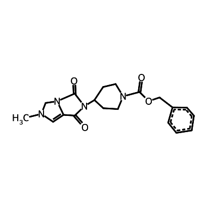 CN1C=C2C(=O)N(C3CCN(C(=O)OCc4ccccc4)CC3)C(=O)N2C1